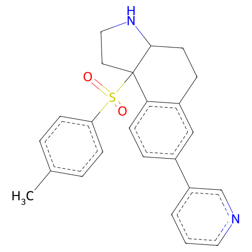 Cc1ccc(S(=O)(=O)C23CCNC2CCc2cc(-c4cccnc4)ccc23)cc1